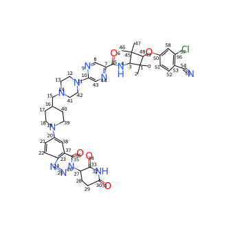 CC1(C)C(NC(=O)c2cnc(N3CCN(CC4CCN(c5ccc6nnn(C7CCC(=O)NC7=O)c(=O)c6c5)CC4)CC3)cn2)C(C)(C)C1Oc1ccc(C#N)c(Cl)c1